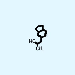 [CH]=C(C)Cc1ccc2c(c1)CCC2